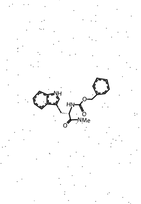 CNC(=O)[C@H](Cc1c[nH]c2ccccc12)NC(=O)OCc1ccccc1